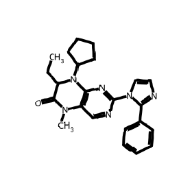 CCC1C(=O)N(C)c2cnc(-n3ccnc3-c3ccccc3)nc2N1C1CCCC1